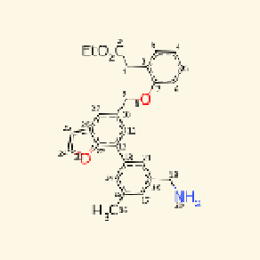 CCOC(=O)Cc1ccccc1OCc1cc(-c2cc(C)cc(CN)c2)c2occc2c1